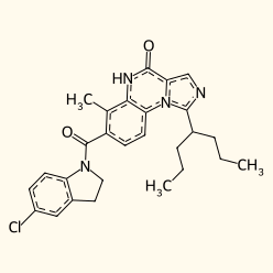 CCCC(CCC)c1ncc2c(=O)[nH]c3c(C)c(C(=O)N4CCc5cc(Cl)ccc54)ccc3n12